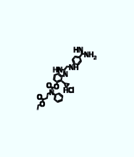 CCOC(=O)CCN(C(=O)Oc1ccc2[nH]c(CNc3ccc(C(=N)N)cc3)nc2c1C1CC1)c1ccccc1.Cl